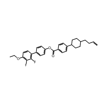 C=CCCC1CCC(c2ccc(C(=O)Oc3ccc(-c4ccc(OCC)c(F)c4F)cc3)cc2)CC1